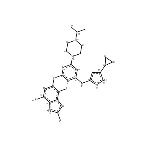 Cc1cc2c(F)c(Oc3nc(Nc4cc(C5CC5)[nH]n4)cc(N4CCN(C(C)C)CC4)n3)cc(F)c2[nH]1